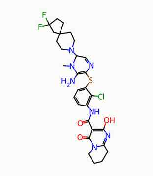 CN1C(N)=C(Sc2cccc(NC(=O)c3c(O)nc4n(c3=O)CCCC4)c2Cl)N=CC1N1CCC2(CC1)CCC(F)(F)C2